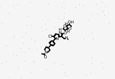 C/N=C/c1c(O[C@@H]2CO[C@H]3[C@@H]2OC[C@H]3O)[nH]c2cc(Cl)c(-c3ccc(C4=CCN(C(C)=O)CC4)cc3)nc12